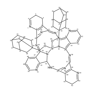 C1=NC2=C(CC1)/C1=N/c3c4ncccc4c4n3[Si](OCC35CC6CC(CC(C6)C3)C5)(OCC35CC6CC(CC(C6)C3)C5)N3/C(=N\C2=N1)c1cccnc1C3NC1=N/C(=N\4)C2=C1CCC=N2